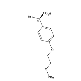 CCCCOCCOc1ccc([C@@H](O)C(=O)O)cc1